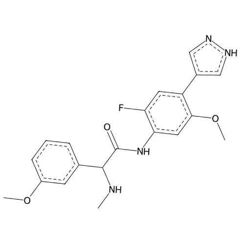 CNC(C(=O)Nc1cc(OC)c(-c2cn[nH]c2)cc1F)c1cccc(OC)c1